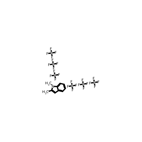 Cc1cc2ccccc2n1C.F[B-](F)(F)F.F[B-](F)(F)F.F[B-](F)(F)F.F[B-](F)(F)F.F[B-](F)(F)F.F[B-](F)(F)F